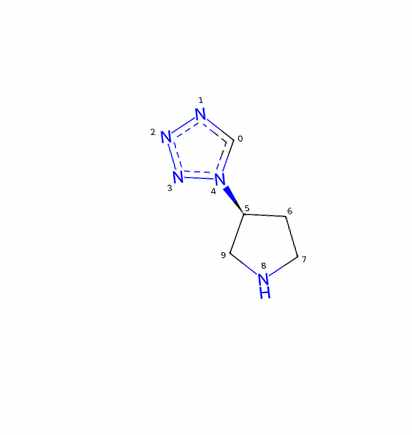 c1nnnn1[C@H]1CCNC1